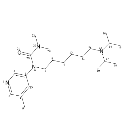 Cc1cncc(N(CCCCCCN(C(C)C)C(C)C)C(=O)N(C)C)c1